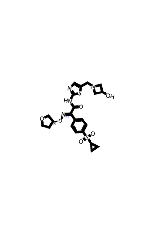 O=C(Nc1ncc(CN2CC(O)C2)s1)/C(=N/O[C@@H]1CCOC1)c1ccc(S(=O)(=O)C2CC2)cc1